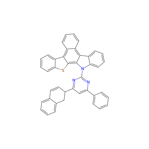 C1=CC(c2cc(-c3ccccc3)nc(-n3c4ccccc4c4c5ccccc5c5c6ccccc6sc5c43)n2)Cc2ccccc21